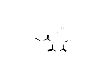 O=C(O[SiH3])OC(=O)OC(=O)O[SiH3].[KH].[KH]